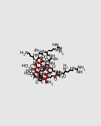 CC[C@H](C)[C@H](NC(=O)[C@H](CO)NC(=O)[C@H](C)NC(=O)[C@H](C)NC(=O)[C@H](CCC(N)=O)NC(=O)[C@H](CCCCN)NC(=O)[C@H](CCCNC(=N)N)NC(=O)[C@H](C)NC(=O)[C@@H](N)CCCNC(=N)N)C(=O)N[C@@H](CCCCN)C(=O)N[C@H](C(=O)N[C@@H](CCCNC(=N)N)C(=O)N[C@H](C(=O)N[C@@H](CO)C(=O)N[C@@H](C)C(=O)N[C@@H](CC(=O)O)C(=O)N[C@@H](CCCNC(=N)N)C(=O)O)C(C)C)C(C)C